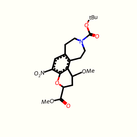 COC(=O)C1CC(OC)c2c3c(cc([N+](=O)[O-])c2O1)CCN(C(=O)OC(C)(C)C)CC3